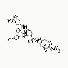 CC(C)C[C@@H](CO)NC(=O)c1c(-c2ccc(F)cc2)nc2c(C(=O)NCc3ccc4nc(N)sc4c3)cccn12